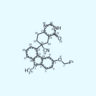 Cn1c2ccc(OCF)cc2c2c(C3(C#N)CCc4nc[nH]c(=O)c4C3)cccc21